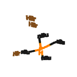 Br.Br.Br.CCCC[PH](CCCC)(CCCC)CCCC